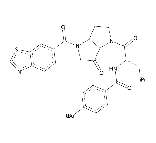 CC(C)C[C@H](NC(=O)c1ccc(C(C)(C)C)cc1)C(=O)N1CCC2C1C(=O)CN2C(=O)c1ccc2ncsc2c1